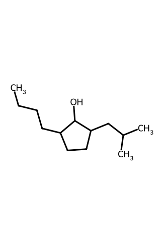 CCCCC1CCC(CC(C)C)C1O